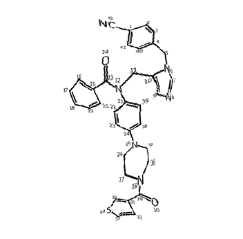 N#Cc1ccc(Cn2cncc2CN(C(=O)c2ccccc2)c2ccc(N3CCN(C(=O)c4ccsc4)CC3)cc2)cc1